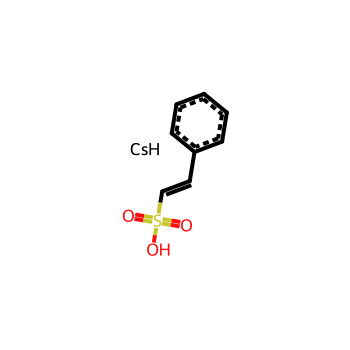 O=S(=O)(O)C=Cc1ccccc1.[CsH]